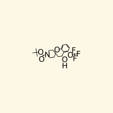 CC(C)(C)OC(=O)N1CCC2(CC1)CC(O)c1c(OC(F)(F)F)cccc1O2